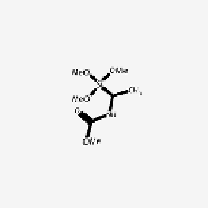 COC(=O)NC(C)[Si](OC)(OC)OC